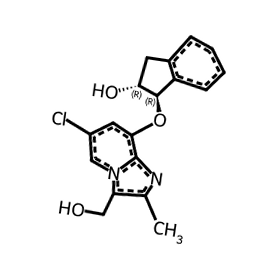 Cc1nc2c(O[C@@H]3c4ccccc4C[C@H]3O)cc(Cl)cn2c1CO